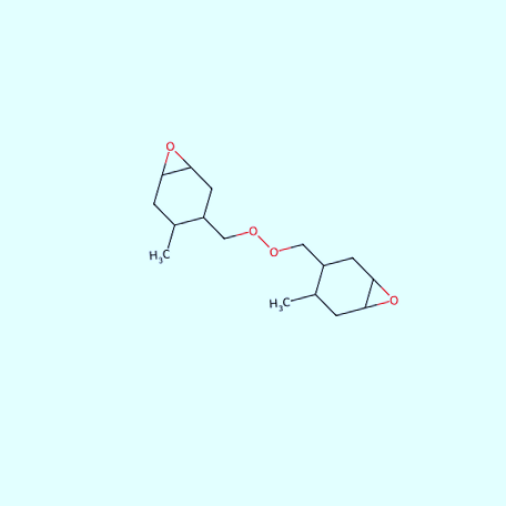 CC1CC2OC2CC1COOCC1CC2OC2CC1C